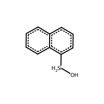 O[SiH2]c1cccc2ccccc12